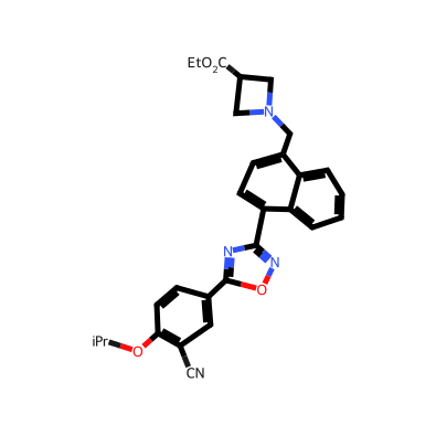 CCOC(=O)C1CN(Cc2ccc(-c3noc(-c4ccc(OC(C)C)c(C#N)c4)n3)c3ccccc23)C1